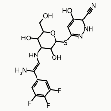 N#CC1NN=C(SC2OC(CO)C(O)C(N/C=C(\N)c3cc(F)c(F)c(F)c3)C2O)C=C1O